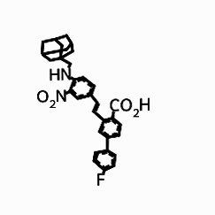 O=C(O)c1ccc(-c2ccc(F)cc2)cc1/C=C/c1ccc(NCC23CC4CC(CC(C4)C2)C3)c([N+](=O)[O-])c1